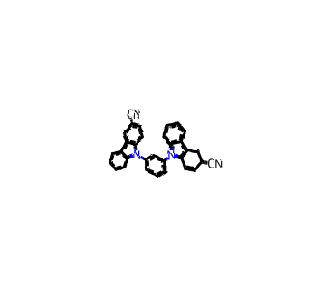 N#Cc1ccc2c(c1)c1ccccc1n2-c1cccc(-n2c3c(c4ccccc42)CC(C#N)C=C3)c1